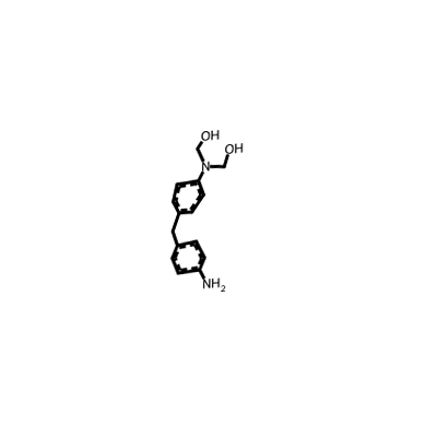 Nc1ccc(Cc2ccc(N(CO)CO)cc2)cc1